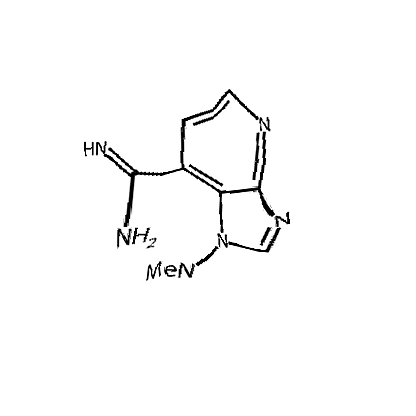 CNn1cnc2nccc(C(=N)N)c21